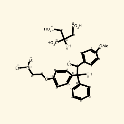 CCC(c1ccc(OC)cc1)C(O)(c1ccccc1)c1ccc(OCCN(CC)CC)cc1.O=C(O)CC(O)(CC(=O)O)C(=O)O